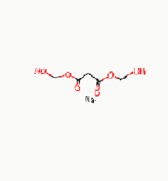 O=C(CC(=O)OCO)OCO.[Na]